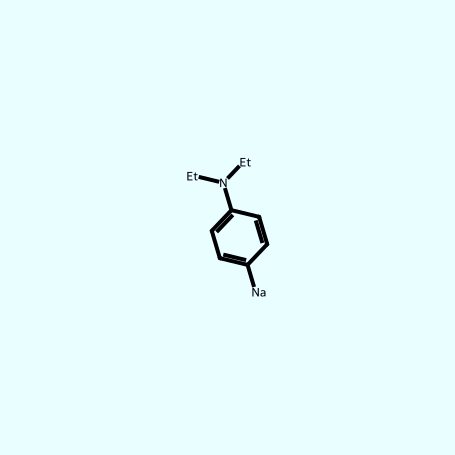 CCN(CC)c1cc[c]([Na])cc1